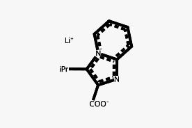 CC(C)c1c(C(=O)[O-])nc2ccccn12.[Li+]